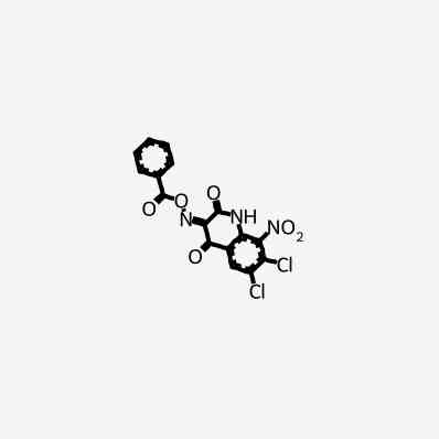 O=C1Nc2c(cc(Cl)c(Cl)c2[N+](=O)[O-])C(=O)C1=NOC(=O)c1ccccc1